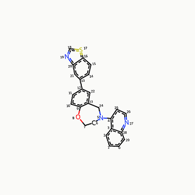 c1ccc2c(N3CCOc4ccc(-c5ccc6scnc6c5)cc4C3)ccnc2c1